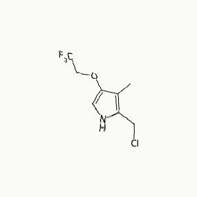 Cc1c(OCC(F)(F)F)c[nH]c1CCl